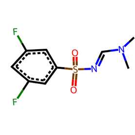 CN(C)C=NS(=O)(=O)c1cc(F)cc(F)c1